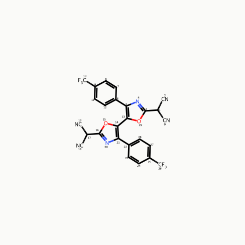 N#CC(C#N)c1nc(-c2ccc(C(F)(F)F)cc2)c(-c2oc(C(C#N)C#N)nc2-c2ccc(C(F)(F)F)cc2)o1